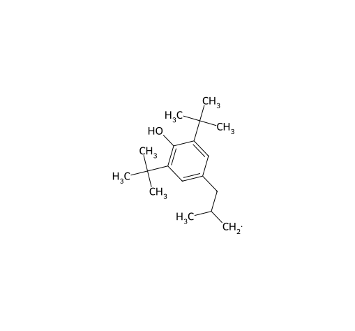 [CH2]C(C)Cc1cc(C(C)(C)C)c(O)c(C(C)(C)C)c1